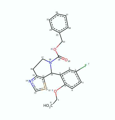 O=C(O)COc1ccc(F)cc1C1c2scnc2CCN1C(=O)OCc1ccccc1